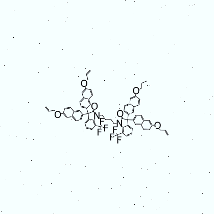 C=CCOc1ccc2cc(C3(c4ccc5cc(OCC=C)ccc5c4)C(=O)N(CCCCN4C(=O)C(c5ccc6cc(OCC=C)ccc6c5)(c5ccc6cc(OCCC)ccc6c5)c5cccc(C(F)(F)F)c54)c4c(C(F)(F)F)cccc43)ccc2c1